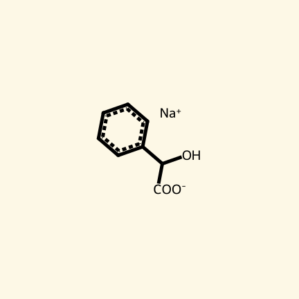 O=C([O-])C(O)c1ccccc1.[Na+]